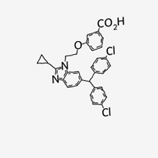 O=C(O)c1cccc(OCCn2c(C3CC3)nc3ccc(C(c4ccc(Cl)cc4)c4ccc(Cl)cc4)cc32)c1